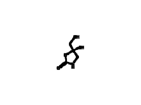 O=C1NC[C@@](S)(CO)O1